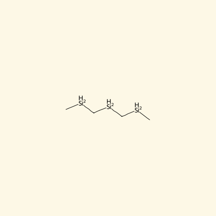 C[SiH2]C[SiH2]C[SiH2]C